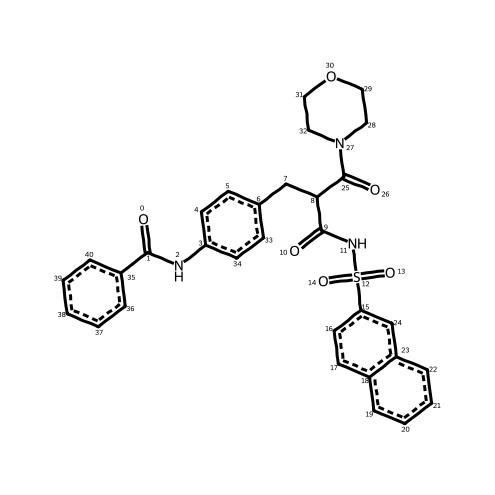 O=C(Nc1ccc(CC(C(=O)NS(=O)(=O)c2ccc3ccccc3c2)C(=O)N2CCOCC2)cc1)c1ccccc1